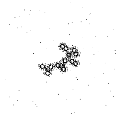 c1ccc(-n2c3ccccc3c3cc(-c4ccc5c(c4)c4ccccc4n5-c4ccc(-c5cc(-c6ccc7ccccc7c6)c6c(c5-c5ccc7ccccc7c5)-c5cccc7cccc-6c57)cc4)ccc32)cc1